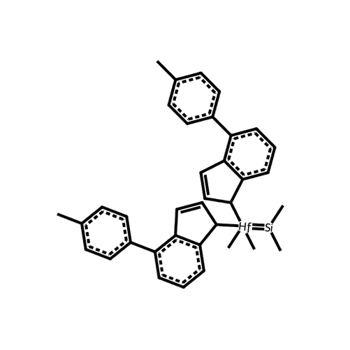 Cc1ccc(-c2cccc3c2C=C[CH]3[Hf]([CH3])([CH3])([CH]2C=Cc3c(-c4ccc(C)cc4)cccc32)=[Si](C)C)cc1